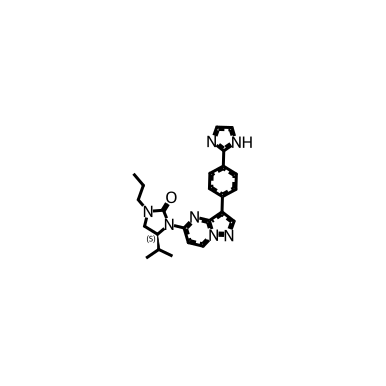 CCCN1C[C@H](C(C)C)N(c2ccn3ncc(-c4ccc(-c5ncc[nH]5)cc4)c3n2)C1=O